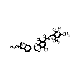 Cc1cc(C)c(CNC(=O)c2cc(Cl)c3c(c2Cl)O[C@@H](C2CCC(C=[N+](C)C)CC2)CO3)c(=O)[nH]1